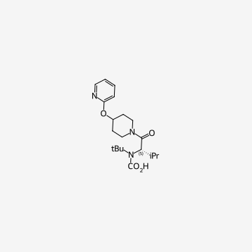 CC(C)[C@@H](C(=O)N1CCC(Oc2ccccn2)CC1)N(C(=O)O)C(C)(C)C